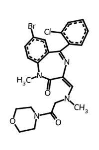 CN(C=C1N=C(c2ccccc2Cl)c2cc(Br)ccc2N(C)C1=O)CC(=O)N1CCOCC1